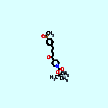 C[S+]([O-])c1ccc(CCCC(=O)C2CCN(C(=O)OC(C)(C)C)CC2)cc1